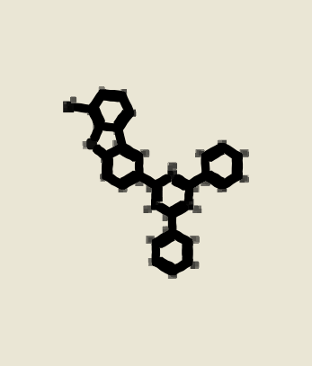 Brc1cccc2c1oc1ccc(-c3nc(-c4ccccc4)nc(-c4ccccc4)n3)cc12